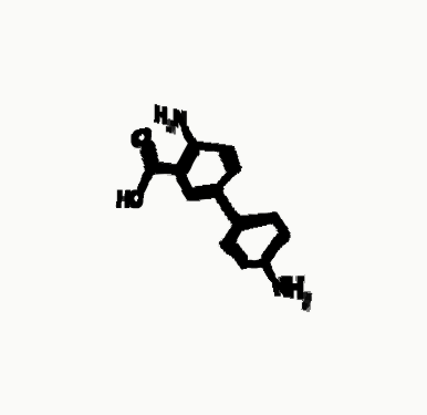 Nc1ccc(-c2ccc(N)c(C(=O)O)c2)cc1